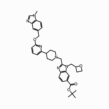 Cn1cnc2cc(COc3cccc(C4CCN(Cc5nc6ccc(C(=O)OC(C)(C)C)cc6n5CC5CCO5)CC4)n3)ccc21